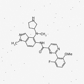 COc1cccc(F)c1-c1nccc(C(=O)Nc2ccc3c(cnn3C)c2N(C)C2CCNC2)n1